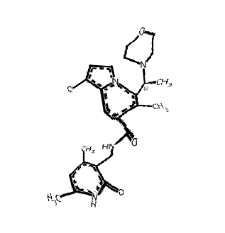 Cc1cc(C)c(CNC(=O)c2cc3c(Cl)ccn3c([C@H](C)N3CCOCC3)c2C)c(=O)[nH]1